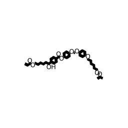 C=CC(=O)OCCCCCC(O)c1ccc(C(=O)Oc2ccc(OCOc3ccc(OCCCCCCOOC(=C)C)cc3)cc2)cc1